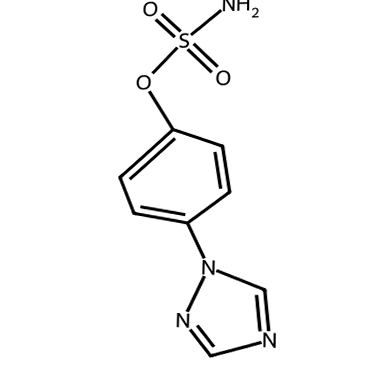 NS(=O)(=O)Oc1ccc(-n2cncn2)cc1